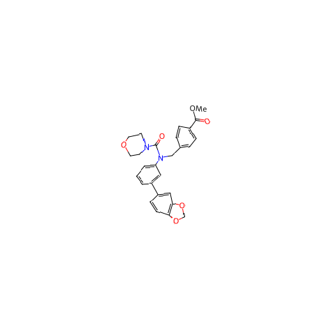 COC(=O)c1ccc(CN(C(=O)N2CCOCC2)c2cccc(-c3ccc4c(c3)OCO4)c2)cc1